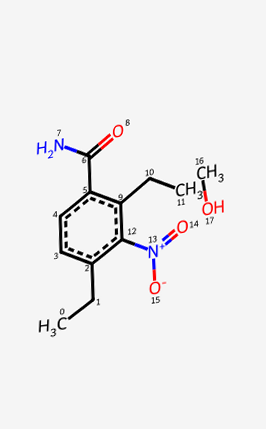 CCc1ccc(C(N)=O)c(CC)c1[N+](=O)[O-].CO